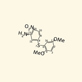 COc1ccc(OC)c(Sc2ccc([N+](=O)[O-])c(N)c2)c1